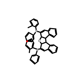 Cc1ccccc1N(C1=Cc2ccccc2C2C1OC1C(N(c3ccccc3)c3ccccc3C)=Cc3ccccc3C12)c1ccccc1